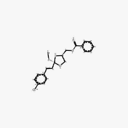 O=C(OC[C@H]1CO[C@@](CBr)(CCc2ccc(Cl)cc2)O1)c1ccccc1